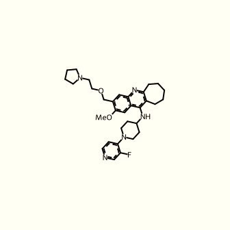 COc1cc2c(NC3CCN(c4ccncc4F)CC3)c3c(nc2cc1COCCN1CCCC1)CCCCC3